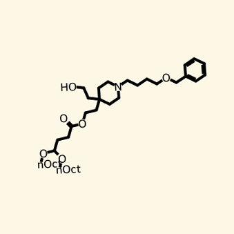 CCCCCCCCOC(CCC(=O)OCCC1(CCO)CCN(CCCCOCc2ccccc2)CC1)OCCCCCCCC